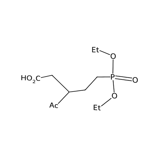 CCOP(=O)(CCC(CC(=O)O)C(C)=O)OCC